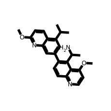 COc1ccc2c(C(C)C)cc(-c3ccc4nccc(OC)c4c3C(C)N)cc2n1